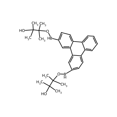 CC(C)(O)C(C)(C)OBc1ccc2c3ccccc3c3ccc(BOC(C)(C)C(C)(C)O)cc3c2c1